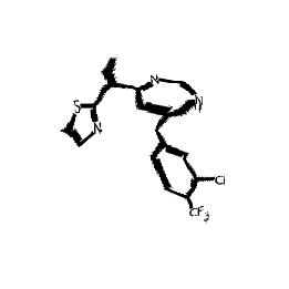 CC(c1cc(-c2ccc(C(F)(F)F)c(Cl)c2)ncn1)c1nccs1